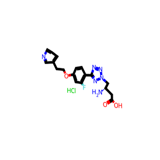 Cl.N[C@@H](CC(=O)O)Cn1nnc(-c2ccc(OCCc3cccnc3)cc2F)n1